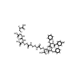 C[C@H](CC[C@H](NC(=O)N[C@@H](CCC(=O)NCCNC(=O)CC[C@@H](NC(=O)C(Cc1ccccc1)NC(=O)C(Cc1ccccc1)NC(=O)c1ccc(F)cc1)C(=O)O)C(=O)O)C(=O)O)C(=O)O